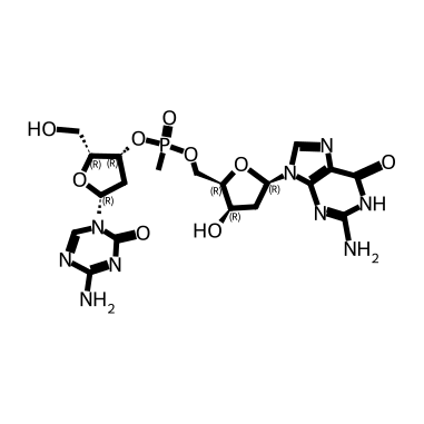 CP(=O)(OC[C@H]1O[C@@H](n2cnc3c(=O)[nH]c(N)nc32)C[C@H]1O)O[C@@H]1C[C@H](n2cnc(N)nc2=O)O[C@@H]1CO